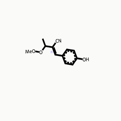 COOC(C)/C(C#N)=C/c1ccc(O)cc1